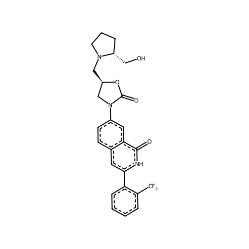 O=C1O[C@H](CN2CCC[C@@H]2CO)CN1c1ccc2cc(-c3ccccc3C(F)(F)F)[nH]c(=O)c2c1